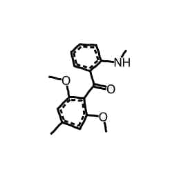 CNc1ccccc1C(=O)c1c(OC)cc(C)cc1OC